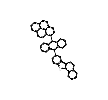 c1ccc2c(c1)ccc1c3cc(-c4c5ccccc5c(-c5ccc6ccc7cccc8ccc5c6c78)c5ccccc45)ccc3oc21